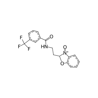 O=C(NCCC1Oc2ccccc2[N+]1=O)c1cccc(C(F)(F)F)c1